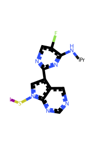 CC(C)Nc1nc(-c2cn(SI)c3ncncc23)ncc1F